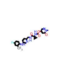 Cn1ncc(OC(=O)NC2(C(=O)NCc3ccc(Nc4ccc(F)cc4C(F)(F)F)cn3)CC2)cc1=O